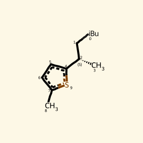 CCC(C)C[C@H](C)c1ccc(C)s1